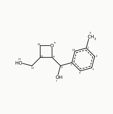 Cc1cccc(C(O)C2OCC2CO)c1